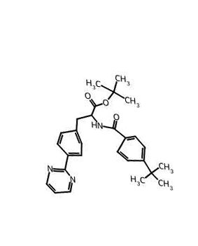 CC(C)(C)OC(=O)C(Cc1ccc(-c2ncccn2)cc1)NC(=O)c1ccc(C(C)(C)C)cc1